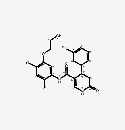 Cc1cc(Cl)c(OCCO)cc1NC(=O)C1=CNC(=O)C[C@@H]1C1C=CC=C(F)C1